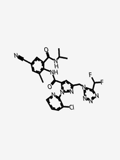 Cc1cc(C#N)cc(C(=O)NC(C)C)c1NC(=O)c1cc(Cn2nnnc2C(F)F)nn1-c1ncccc1Cl